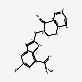 CSC(=O)c1cc(F)cc2cc(CN3CCc4ccncc4C3=O)oc12